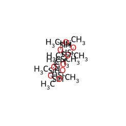 C[SiH]1O[SiH](C)O[Si](C)(O[Si](C)(C)[Si]2(C)O[SiH](C)O[SiH](C)O[SiH](C)O2)O[SiH](C)O1